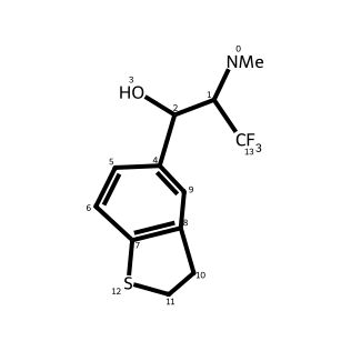 CNC(C(O)c1ccc2c(c1)CCS2)C(F)(F)F